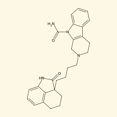 NC(=O)n1c2c(c3ccccc31)CCN(CCCCC13CCCc4cccc(c41)NC3=O)C2